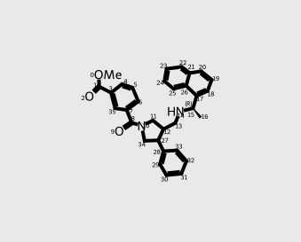 COC(=O)c1cccc(C(=O)N2CC(CN[C@H](C)c3cccc4ccccc34)C(c3ccccc3)C2)c1